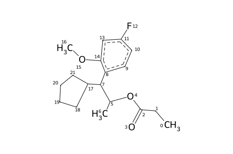 CCC(=O)OC(C)C(c1ccc(F)cc1OC)C1CCCC1